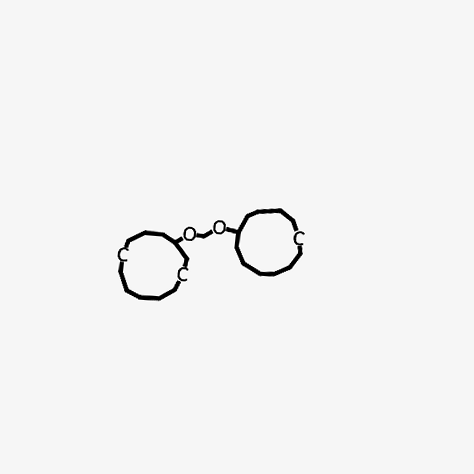 C1CCCCCC(OCOC2CCCCCCCCCCC2)CCCCC1